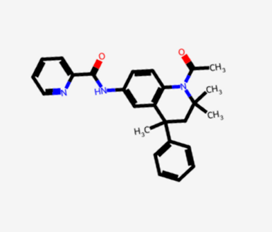 CC(=O)N1c2ccc(NC(=O)c3ccccn3)cc2C(C)(c2ccccc2)CC1(C)C